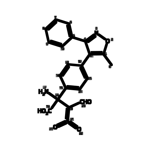 Cc1onc(-c2ccccc2)c1-c1ccc(C(N)(C(=O)O)C(C=O)=S(=O)=O)cc1